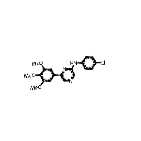 COc1cc(-c2cncc(Nc3ccc(Cl)cc3)n2)cc(OC)c1OC